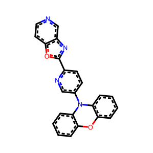 c1ccc2c(c1)Oc1ccccc1N2c1ccc(-c2nc3cnccc3o2)nc1